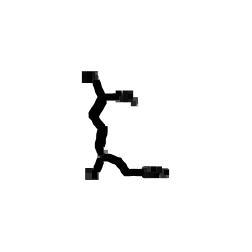 CCN(/C=C/C=C(\N)S)CCOC